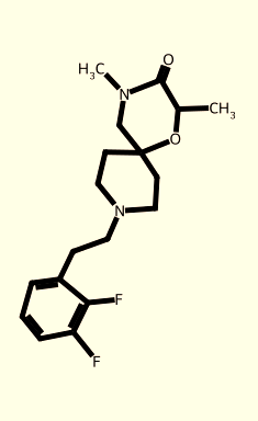 CC1OC2(CCN(CCc3cccc(F)c3F)CC2)CN(C)C1=O